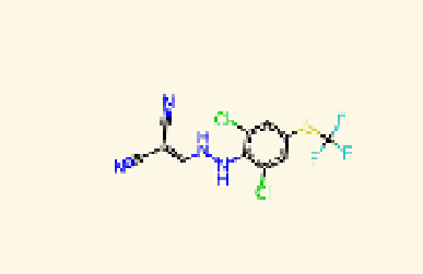 N#CC(C#N)=CNNc1c(Cl)cc(SC(F)(F)F)cc1Cl